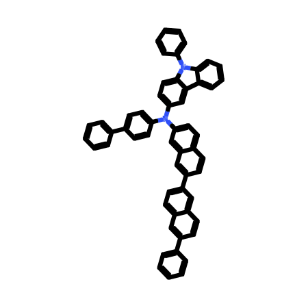 c1ccc(-c2ccc(N(c3ccc4ccc(-c5ccc6cc(-c7ccccc7)ccc6c5)cc4c3)c3ccc4c(c3)c3ccccc3n4-c3ccccc3)cc2)cc1